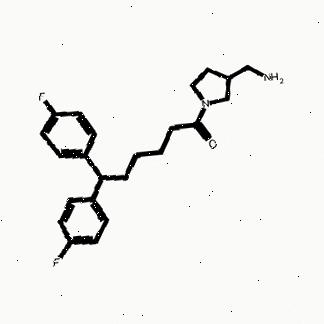 NCC1CCN(C(=O)CCCCC(c2ccc(F)cc2)c2ccc(F)cc2)C1